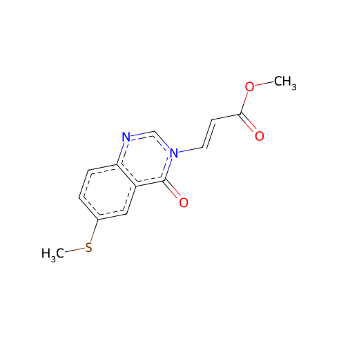 COC(=O)C=Cn1cnc2ccc(SC)cc2c1=O